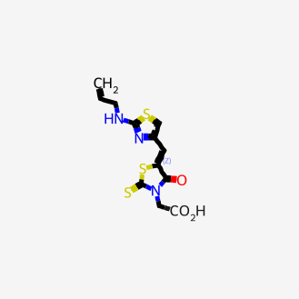 C=CCNc1nc(/C=C2\SC(=S)N(CC(=O)O)C2=O)cs1